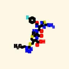 C=CCn1nnnc1SCC1=C(C(=O)O)N2C(=O)C(NC(=O)C(=NOc3ccc(F)cc3)c3nsc(N)n3)[C@@H]2SC1